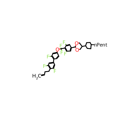 C=CCCc1c(F)cc(-c2ccc(OC(F)(F)c3c(F)cc(C4OCC(C5CCC(CCCCC)CC5)CO4)cc3F)cc2F)cc1F